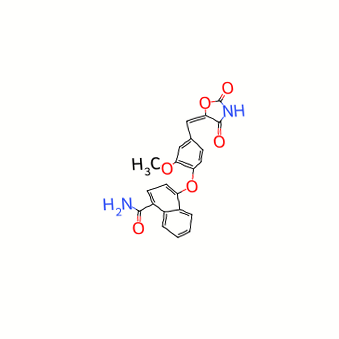 COc1cc(C=C2OC(=O)NC2=O)ccc1Oc1ccc(C(N)=O)c2ccccc12